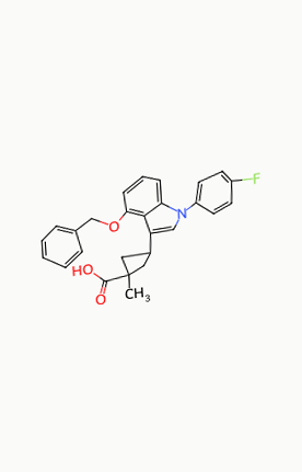 CC1(C(=O)O)CC(c2cn(-c3ccc(F)cc3)c3cccc(OCc4ccccc4)c23)C1